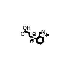 Cn1ncc2c(S(=O)(=O)CCC(=O)O)cccc21